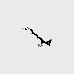 CCCCCCCCCCC=C(O)C1CC1